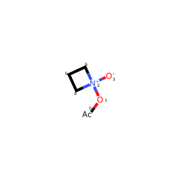 CC(=O)O[N+]1([O-])CCC1